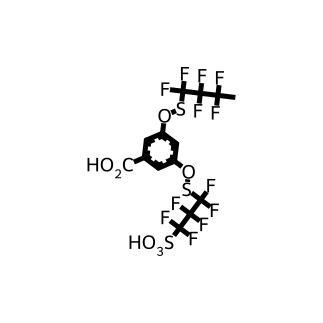 CC(F)(F)C(F)(F)C(F)(F)SOc1cc(OSC(F)(F)C(F)(F)C(F)(F)S(=O)(=O)O)cc(C(=O)O)c1